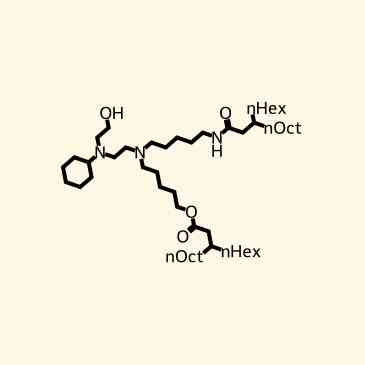 CCCCCCCCC(CCCCCC)CC(=O)NCCCCCN(CCCCCOC(=O)CC(CCCCCC)CCCCCCCC)CCN(CCO)C1CCCCC1